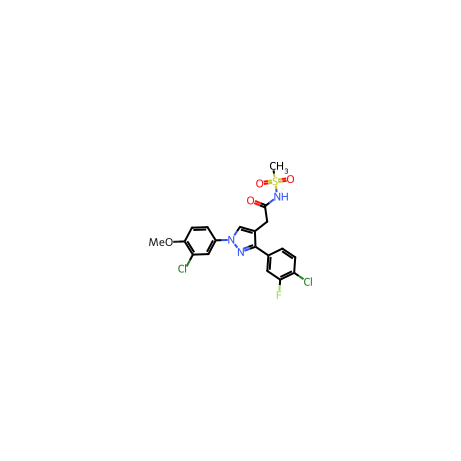 COc1ccc(-n2cc(CC(=O)NS(C)(=O)=O)c(-c3ccc(Cl)c(F)c3)n2)cc1Cl